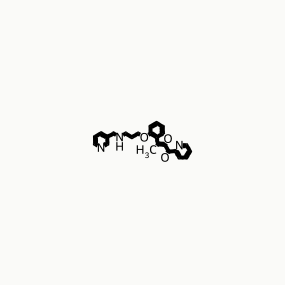 Cc1c(C(=O)c2ccccn2)oc2cccc(OCCCNCc3cccnc3)c12